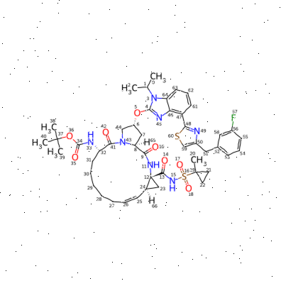 CC(C)n1c(O[C@@H]2C[C@H]3C(=O)N[C@]4(C(=O)NS(=O)(=O)C5(C)CC5)C[C@H]4/C=C\CCCCC[C@H](NC(=O)OC(C)(C)C)C(=O)N3C2)nc2c(-c3nc(Cc4cccc(F)c4)cs3)cccc21